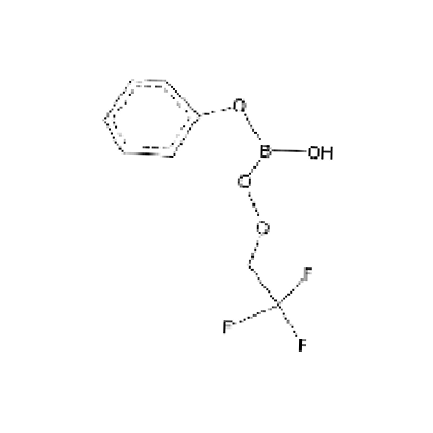 OB(OOCC(F)(F)F)Oc1ccccc1